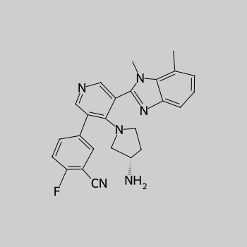 Cc1cccc2nc(-c3cncc(-c4ccc(F)c(C#N)c4)c3N3CC[C@H](N)C3)n(C)c12